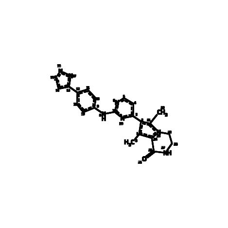 Cc1c(-c2ccnc(Nc3ccc(-c4csnn4)cc3)n2)c(C)n2c1C(=O)NCC2